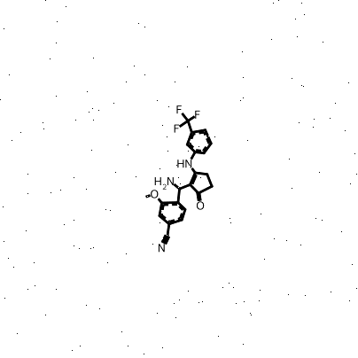 COc1cc(C#N)ccc1C(N)C1=C(Nc2cccc(C(F)(F)F)c2)CCC1=O